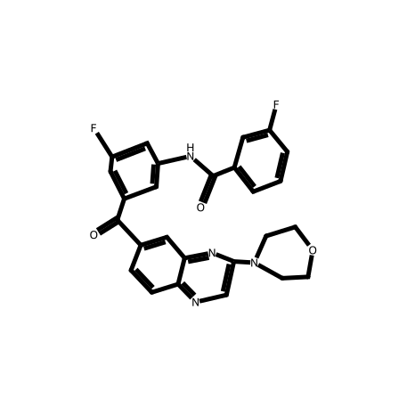 O=C(Nc1cc(F)cc(C(=O)c2ccc3ncc(N4CCOCC4)nc3c2)c1)c1cccc(F)c1